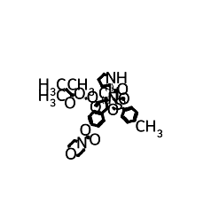 Cc1ccc(S(=O)(=O)N(C(=O)[C@@H]2CCCN2)[C@@](C)(Cc2ccc(OC(=O)N3CCOCC3)cc2)C(=O)OCOC(=O)C(C)(C)C)cc1